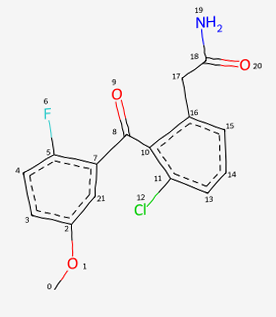 COc1ccc(F)c(C(=O)c2c(Cl)cccc2CC(N)=O)c1